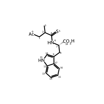 CC(=O)CC(C)C(=S)N[C@@H](Cc1c[nH]c2ccccc12)C(=O)O